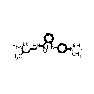 CCN(CC)C(C)CCCNC(=O)c1ccccc1Nc1ccc(N(C)C)cc1